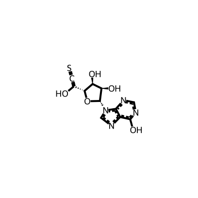 OC(=C=S)[C@H]1O[C@@H](n2cnc3c(O)ncnc32)[C@H](O)[C@@H]1O